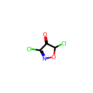 O=C1C(Cl)=NOC1Cl